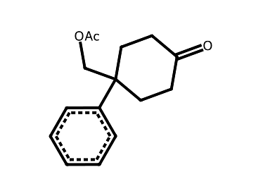 CC(=O)OCC1(c2ccccc2)CCC(=O)CC1